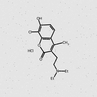 CCN(CC)CCc1c(C)c2ccc(O)c(Cl)c2oc1=O.Cl